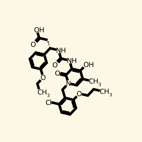 CCCOc1cccc(Cl)c1Cn1cc(C)c(O)c(NC(=O)N[C@@H](CC(=O)O)c2cccc(OCC)c2)c1=O